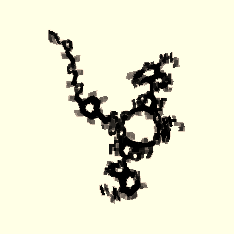 B[P@@]1(=O)OC[C@H]2O[C@@H](n3cnc4c(N)ccnc43)[C@H](F)[C@@H]2O[P@](=O)(SCc2ccc(COCCOCCOCC)cc2)OC[C@H]2O[C@@H](n3cnc4c(N)ncnc43)[C@H](F)[C@@H]2O1